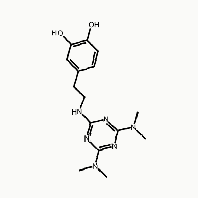 CN(C)c1nc(NCCc2ccc(O)c(O)c2)nc(N(C)C)n1